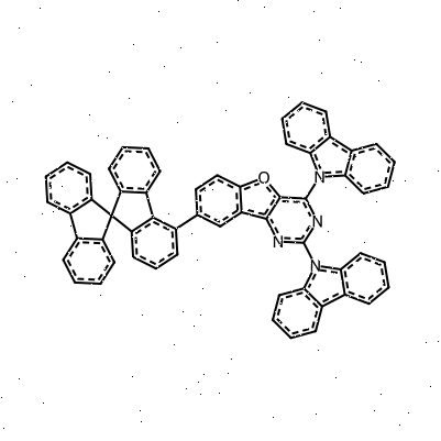 c1ccc2c(c1)-c1ccccc1C21c2ccccc2-c2c(-c3ccc4oc5c(-n6c7ccccc7c7ccccc76)nc(-n6c7ccccc7c7ccccc76)nc5c4c3)cccc21